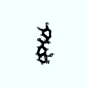 O=C(Nc1ccc(F)c(F)c1)c1ccc2c(c1)[S+]([O-])NC=N2